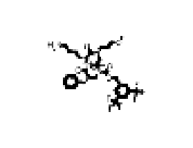 COCCCN1C[C@@H]2N(C(=O)OCc3cc(C(F)(F)F)cc(C(F)(F)F)c3)C[C@@H](Cc3ccccc3)C(=O)N2[C@@H](CCCCN)C1=O